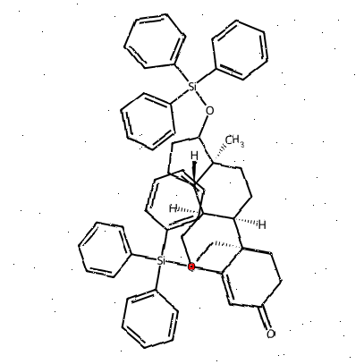 C[C@]12CC[C@@H]3[C@@H](CCC4=CC(=O)CC[C@@]43CO[Si](c3ccccc3)(c3ccccc3)c3ccccc3)[C@@H]1CCC2O[Si](c1ccccc1)(c1ccccc1)c1ccccc1